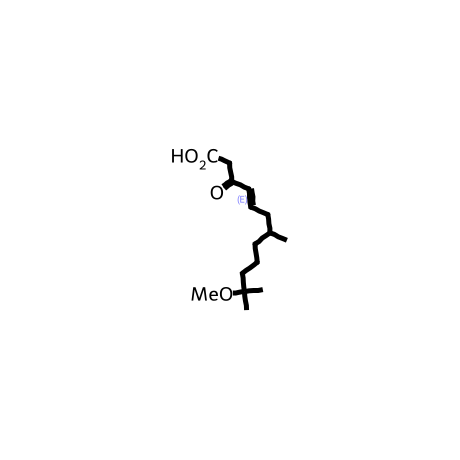 COC(C)(C)CCCC(C)C/C=C/C(=O)CC(=O)O